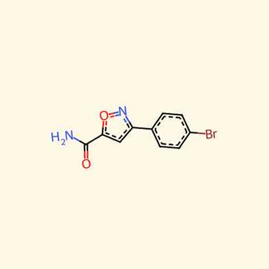 NC(=O)c1cc(-c2ccc(Br)cc2)no1